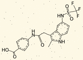 Cc1[nH]c2ccc(NS(=O)(=O)C(F)(F)F)cc2c1CC(=O)Nc1ccc(C(=O)O)cc1